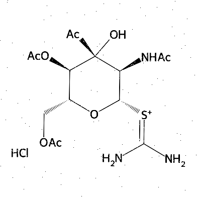 CC(=O)N[C@H]1[C@H]([S+]=C(N)N)O[C@H](COC(C)=O)[C@@H](OC(C)=O)[C@@]1(O)C(C)=O.Cl